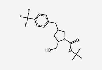 CC(C)(C)OC(=O)N1CC(Cc2ccc(C(F)(F)F)cc2)C[C@H]1CO